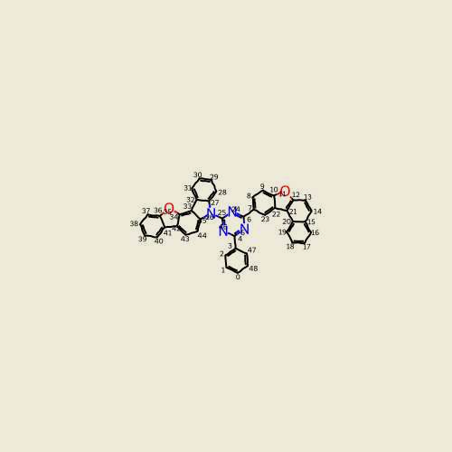 c1ccc(-c2nc(-c3ccc4oc5ccc6ccccc6c5c4c3)nc(-n3c4ccccc4c4c5oc6ccccc6c5ccc43)n2)cc1